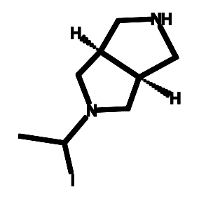 CC(I)N1C[C@H]2CNC[C@H]2C1